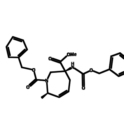 COC(=O)[C@]1(NC(=O)OCc2ccccc2)CC=C[C@@H](C)N(C(=O)OCc2ccccc2)C1